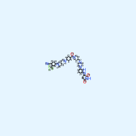 C[C@@H]1CC2(CCN(c3ccc(C(=O)N4CCC(CN5CCN(c6cccc(N[C@H]7CCC(=O)NC7=O)c6)CC5)CC4)cc3)CC2)CN1c1ccc(C#N)c(C(F)(F)F)c1